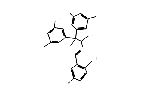 CCC(C)C(N=Cc1cc(C#N)ccc1O)C(O)(c1cc(C(C)(C)C)cc(C(C)(C)C)c1)c1cc(C(C)(C)C)cc(C(C)(C)C)c1